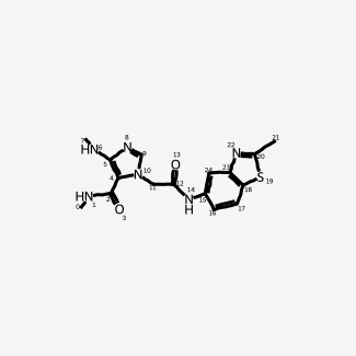 CNC(=O)c1c(NC)ncn1CC(=O)Nc1ccc2sc(C)nc2c1